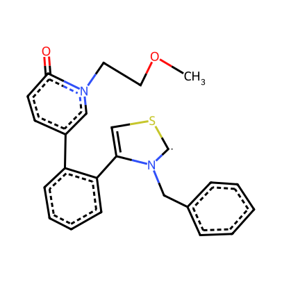 COCCn1cc(-c2ccccc2C2=CS[CH]N2Cc2ccccc2)ccc1=O